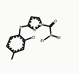 CCN(CC)C(=O)n1ccc(Sc2ccc(C)cc2Cl)n1